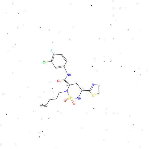 COCCCN1[C@@H](C(=O)Nc2ccc(F)c(Cl)c2)C[C@@H](c2nccs2)NS1(=O)=O